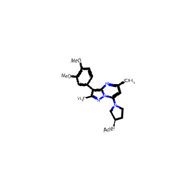 COc1ccc(-c2c(C)nn3c(N4CC[C@@H](NC(C)=O)C4)cc(C)nc23)cc1OC